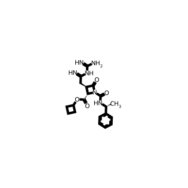 C[C@@H](NC(=O)N1C(=O)[C@H](CC(=N)NC(=N)N)[C@H]1C(=O)OC1CCC1)c1ccccc1